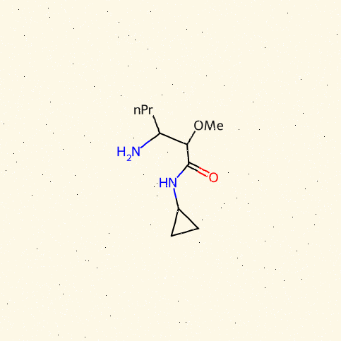 CCCC(N)C(OC)C(=O)NC1CC1